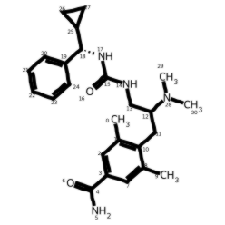 Cc1cc(C(N)=O)cc(C)c1CC(CNC(=O)N[C@H](c1ccccc1)C1CC1)N(C)C